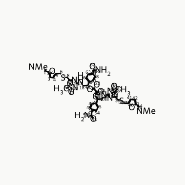 CNCc1ccc(CSCCNC(=NS(C)(=O)=O)NCC(OC(=O)C(=O)OC(CNC(=NS(C)(=O)=O)NCCSCc2ccc(CNC)o2)c2ccc(C(N)=O)cc2)c2ccc(C(N)=O)cc2)o1